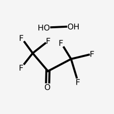 O=C(C(F)(F)F)C(F)(F)F.OO